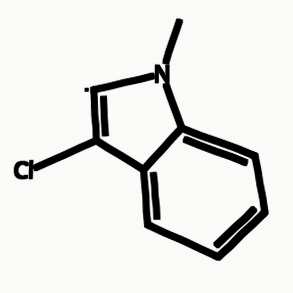 Cn1[c]c(Cl)c2ccccc21